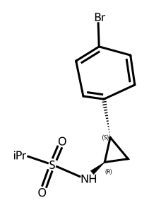 CC(C)S(=O)(=O)N[C@@H]1C[C@H]1c1ccc(Br)cc1